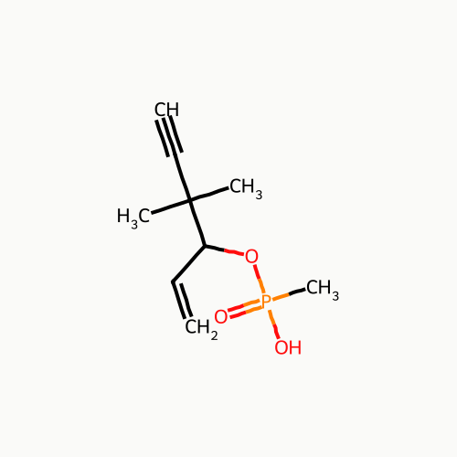 C#CC(C)(C)C(C=C)OP(C)(=O)O